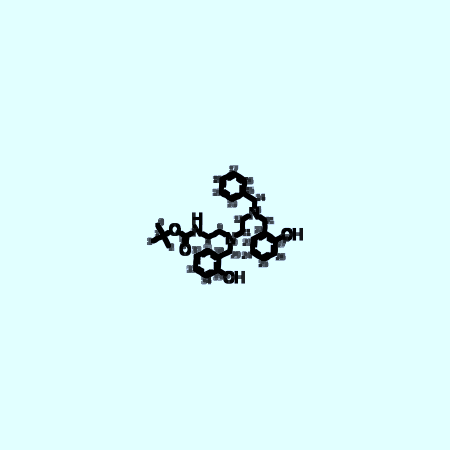 CC(C)(C)OC(=O)NCCN(CCN(Cc1ccccc1)Cc1ccccc1O)Cc1ccccc1O